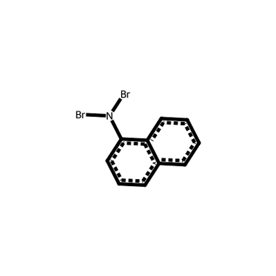 BrN(Br)c1cccc2ccccc12